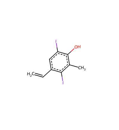 C=Cc1cc(I)c(O)c(C)c1I